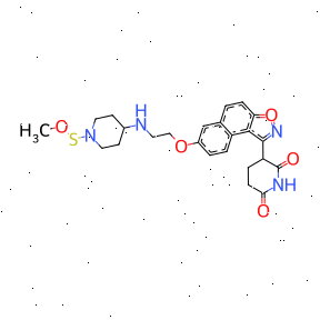 COSN1CCC(NCCOc2ccc3c(ccc4onc(C5CCC(=O)NC5=O)c43)c2)CC1